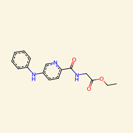 CCOC(=O)CNC(=O)c1ccc(Nc2ccccc2)cn1